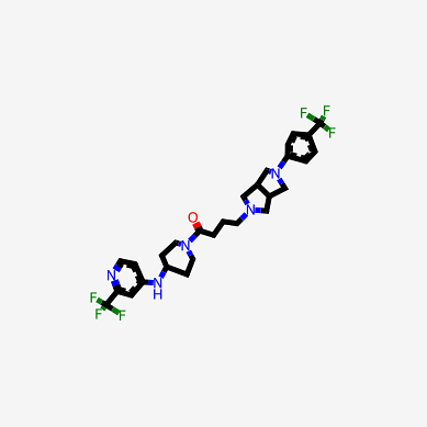 O=C(CCCN1CC2CN(c3ccc(C(F)(F)F)cc3)CC2C1)N1CCC(Nc2ccnc(C(F)(F)F)c2)CC1